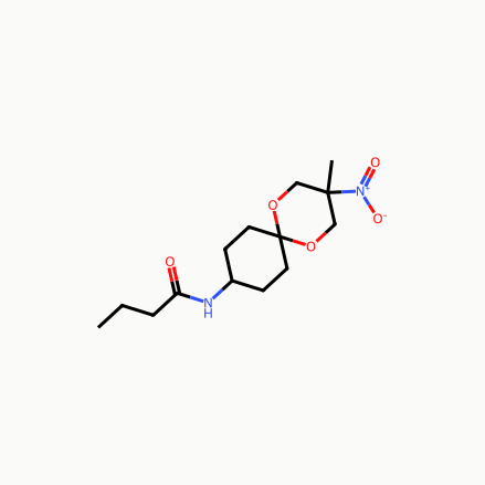 CCCC(=O)NC1CCC2(CC1)OCC(C)([N+](=O)[O-])CO2